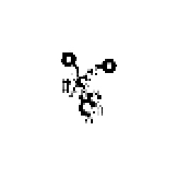 C[C@]1(O)C(n2cc3c4c(ncnc42)NC(=O)C=C3)O[C@H](COCc2ccccc2)[C@H]1OCc1ccccc1